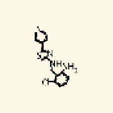 Nc1cccc(Cl)c1CNc1csc(-c2ccncc2)n1